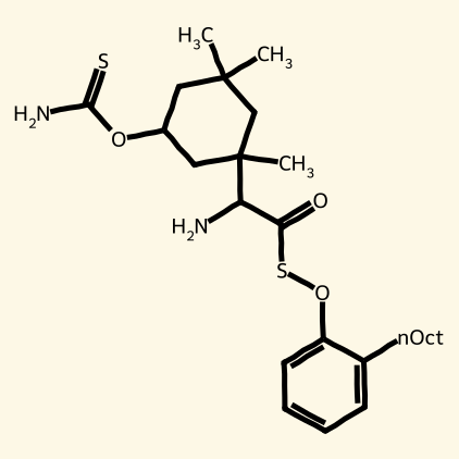 CCCCCCCCc1ccccc1OSC(=O)C(N)C1(C)CC(OC(N)=S)CC(C)(C)C1